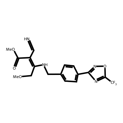 COC/C(NCc1ccc(-c2noc(C(F)(F)F)n2)cc1)=C(/C=N)C(=O)OC